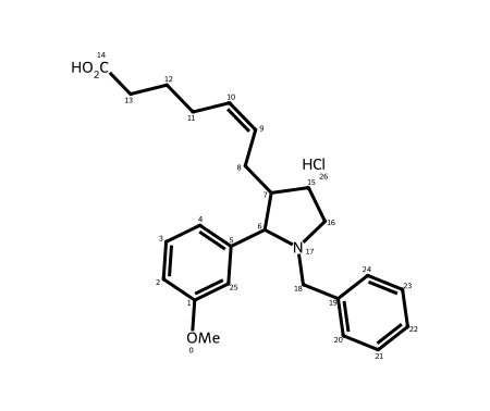 COc1cccc(C2C(C/C=C\CCCC(=O)O)CCN2Cc2ccccc2)c1.Cl